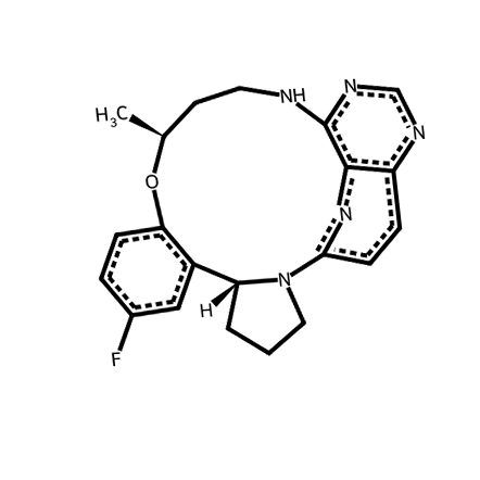 C[C@H]1CCNc2ncnc3ccc(nc23)N2CCC[C@@H]2c2cc(F)ccc2O1